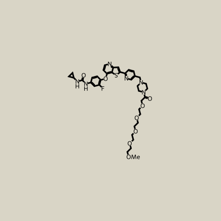 COCCOCCOCCOCCOCC(=O)N1CCN(Cc2ccc(-c3cc4nccc(Oc5ccc(NC(=O)NC6CC6)cc5F)c4s3)nc2)CC1